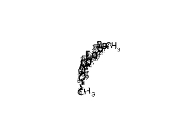 CCCCCC1CC=C(OC(F)(F)c2ccc(-c3ccc(-c4ccc(OCC)c(F)c4F)cc3)c(F)c2F)CC1